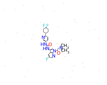 CN(C)CC(=O)n1cc(NC(=O)Nc2ccc(C3CCC(F)(F)CC3)nc2)c2cc(F)cnc21